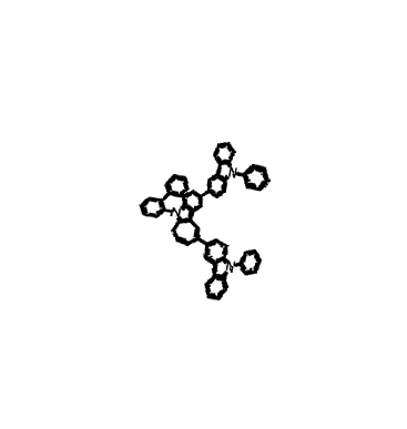 C1=CC(c2ccc3c(c2)c2ccccc2n3-c2ccccc2)=Cc2c(n(-c3ccccc3-c3ccccc3)c3ccc(-c4ccc5c(c4)c4ccccc4n5-c4ccccc4)cc23)C1